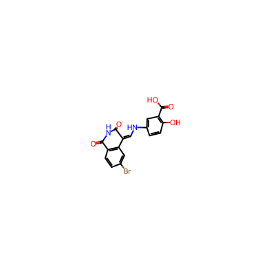 O=C1NC(=O)c2ccc(Br)cc2C1=CNc1ccc(O)c(C(=O)O)c1